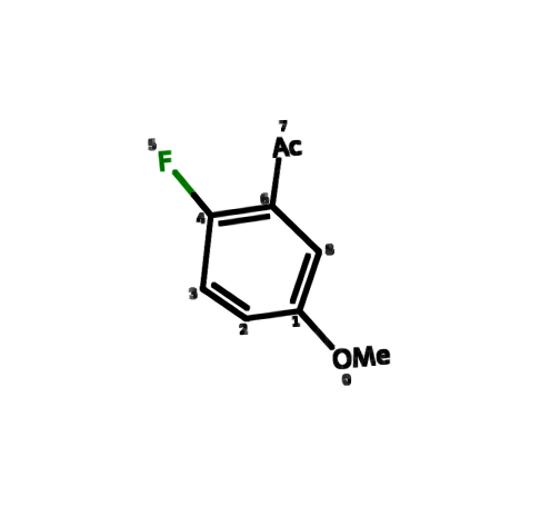 COc1ccc(F)c(C(C)=O)c1